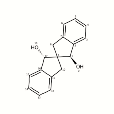 O[C@@H]1c2ccccc2CC12Cc1ccccc1[C@@H]2O